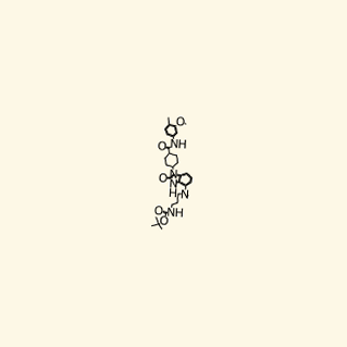 COc1cc(NC(=O)C2CCC(n3c(=O)[nH]c4c(N(C)CCCNC(=O)OC(C)(C)C)cccc43)CC2)ccc1C